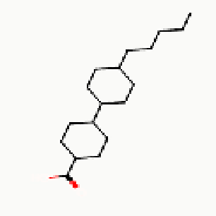 CCCCCC1CCC(C2CCC(C(=O)O)CC2)CC1